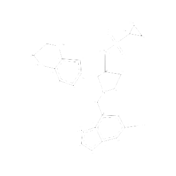 O=S(=O)(NC1CCN(Cc2cc(F)cc3cc[nH]c23)[C@@H]1c1ccc2c(c1)OCCO2)C1CC1